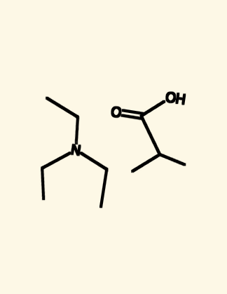 CC(C)C(=O)O.CCN(CC)CC